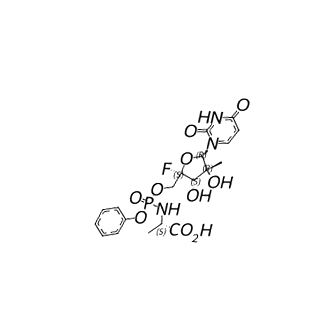 C[C@H](NP(=O)(OC[C@@]1(F)O[C@@H](n2ccc(=O)[nH]c2=O)[C@](C)(O)[C@@H]1O)Oc1ccccc1)C(=O)O